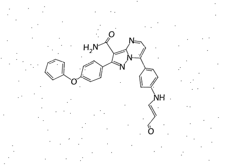 NC(=O)c1c(-c2ccc(Oc3ccccc3)cc2)nn2c(-c3ccc(NC=CC=O)cc3)ccnc12